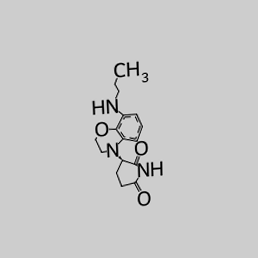 CCCNc1cccc2c1OCCN2[C@@H]1CCC(=O)NC1=O